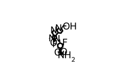 Cn1c(=O)n(Cc2c(F)cc(S(N)(=O)=O)cc2F)c2c3ccc(CO)nc3ncc21